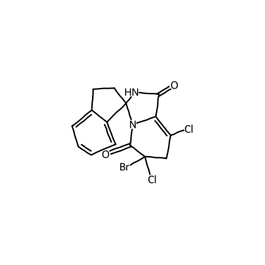 O=C1NC2(CCc3ccccc32)N2C(=O)C(Cl)(Br)CC(Cl)=C12